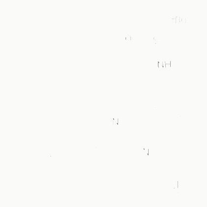 CC(C)(C)[S+]([O-])NC1CCN(Cc2ccccc2)c2nc(Cl)ccc21